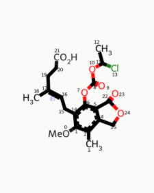 COc1c(C)c2c(c(OC(=O)OC(C)Cl)c1C/C=C(\C)CCC(=O)O)C(=O)OC2